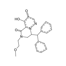 COCCN1CC(C(c2ccccc2)c2ccccc2)n2ncc(=O)c(O)c2C1=O